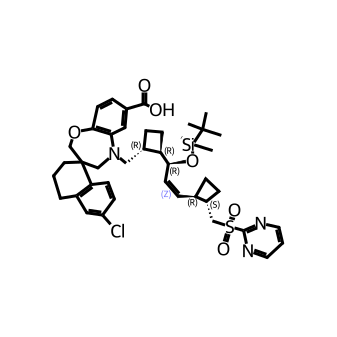 CC(C)(C)[Si](C)(C)O[C@@H](/C=C\[C@H]1CC[C@@H]1CS(=O)(=O)c1ncccn1)[C@@H]1CC[C@H]1CN1CC2(CCCc3cc(Cl)ccc32)COc2ccc(C(=O)O)cc21